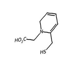 O=C(O)CN1CC=CC=C1CS